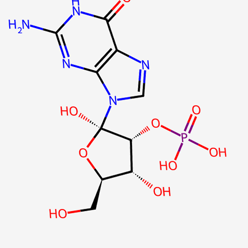 Nc1nc2c(ncn2[C@]2(O)O[C@H](CO)[C@@H](O)[C@H]2OP(=O)(O)O)c(=O)[nH]1